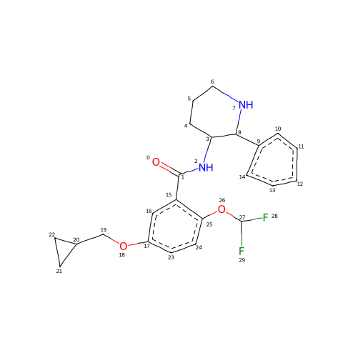 O=C(NC1CCCNC1c1ccccc1)c1cc(OCC2CC2)ccc1OC(F)F